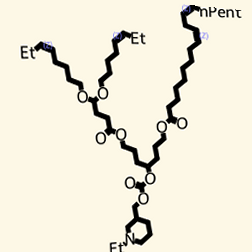 CC/C=C\CCCCOC(CCC(=O)OCCCC(CCCOC(=O)CCCCCCC/C=C\C/C=C\CCCCC)OC(=O)OCC1CCCN(CC)C1)OCCCC/C=C\CC